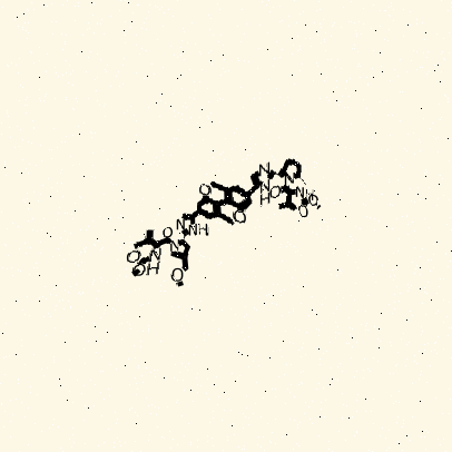 COCC1C[C@@H](c2ncc(-c3cc4c5c(c3)OCc3cc(-c6cnc([C@@H]7CC[C@H](C)N7C(=O)C(NC(=O)OC)C(C)C)[nH]6)cc(c3-5)OC4)[nH]2)N(C(=O)C(NC(=O)OC)C(C)C)C1